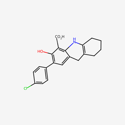 O=C(O)c1c(O)c(-c2ccc(Cl)cc2)cc2c1NC1=C(CCCC1)C2